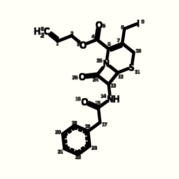 C=CCOC(=O)C1=C(CI)CSC2C(NC(=O)Cc3ccccc3)C(=O)N12